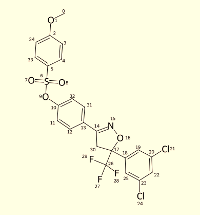 COc1ccc(S(=O)(=O)Oc2ccc(C3=NOC(c4cc(Cl)cc(Cl)c4)(C(F)(F)F)C3)cc2)cc1